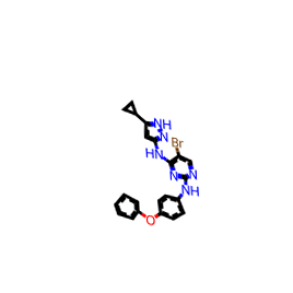 Brc1cnc(Nc2ccc(Oc3ccccc3)cc2)nc1Nc1cc(C2CC2)[nH]n1